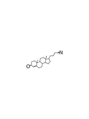 CC12CCC(=O)C=C1CCC1C2CC[C@]2(C)C(CCCC#N)CCC12